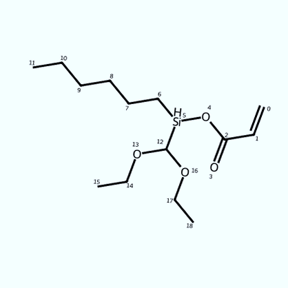 C=CC(=O)O[SiH](CCCCCC)C(OCC)OCC